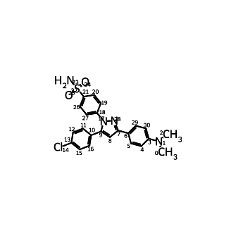 CN(C)c1ccc(-c2cc(-c3ccc(Cl)cc3)n(-c3ccc(S(N)(=O)=O)cc3)n2)cc1